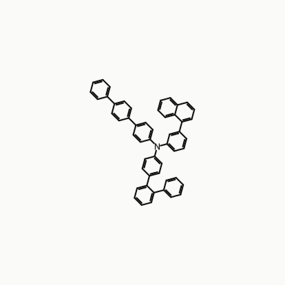 c1ccc(-c2ccc(-c3ccc(N(c4ccc(-c5ccccc5-c5ccccc5)cc4)c4cccc(-c5cccc6ccccc56)c4)cc3)cc2)cc1